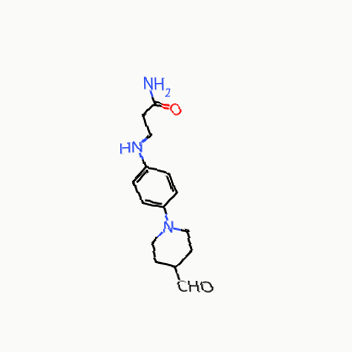 NC(=O)CCNc1ccc(N2CCC(C=O)CC2)cc1